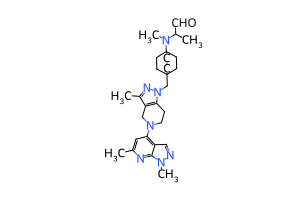 Cc1cc(N2CCc3c(c(C)nn3CC34CCC(N(C)C(C)C=O)(CC3)CC4)C2)c2cnn(C)c2n1